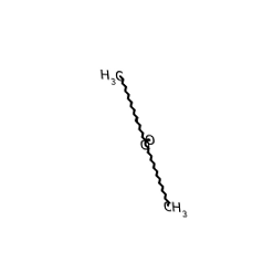 CCCCCCCCCCCC=CCCCCC(=O)OCCCCCCCCCCCCCCCC